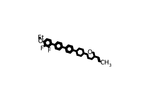 C/C=C/C1CCC(C2CCC(c3ccc(-c4ccc(-c5ccc(OCC)c(F)c5F)cc4)cc3)CC2)OC1